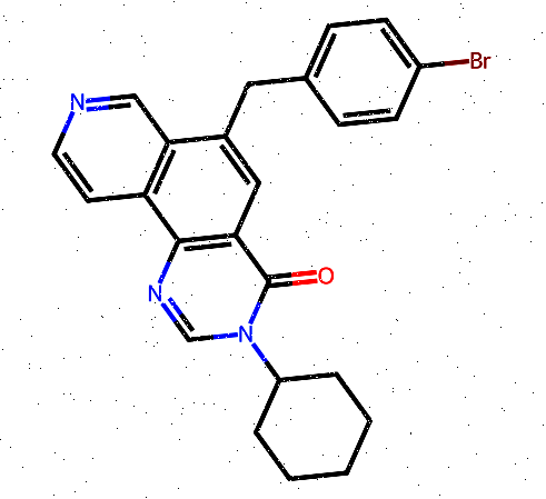 O=c1c2cc(Cc3ccc(Br)cc3)c3cnccc3c2ncn1C1CCCCC1